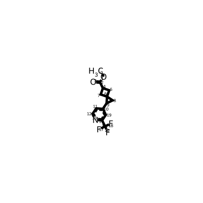 COC(=O)C1CC2(C1)CC2c1ccnc(C(F)(F)F)c1